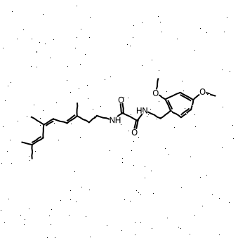 COc1ccc(CNC(=O)C(=O)NCC/C(C)=C/C=C(/C)C=C(C)C)c(OC)c1